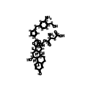 C[C@]12C=CC(=O)C=C1CC[C@@H]1[C@@H]2[C@@H](O)C[C@@]2(C)[C@H]1C[C@H]1O[C@@H](c3ccn(Cc4ccc(CO)c(N)c4)c3)O[C@]12C(=O)COC(=O)[C@@H](N)CC(=O)O